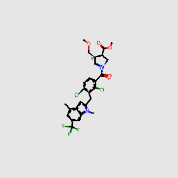 COC[C@@H]1CN(C(=O)c2ccc(Cl)c(Cc3cc4c(C)cc(C(F)(F)F)cc4n3C)c2Cl)CC1C(=O)OC